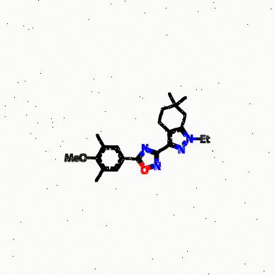 CCn1nc(-c2noc(-c3cc(C)c(OC)c(C)c3)n2)c2c1CC(C)(C)CC2